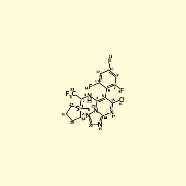 C[Si]1(C(Nc2c(-c3c(F)cc(F)cc3F)c(Cl)nc3ncnn23)C(F)(F)F)CCCC1